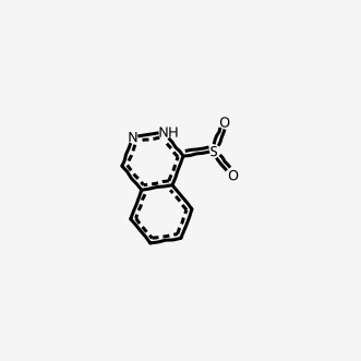 O=S(=O)=c1[nH]ncc2ccccc12